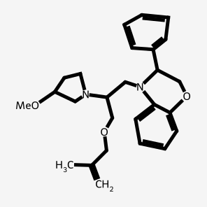 C=C(C)COCC(CN1c2ccccc2OCC1c1ccccc1)N1CCC(OC)C1